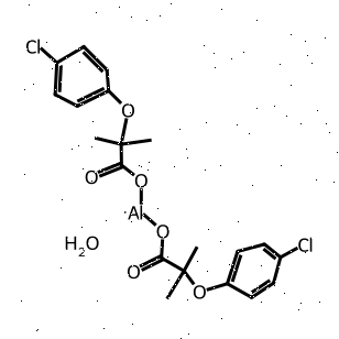 CC(C)(Oc1ccc(Cl)cc1)C(=O)[O][Al][O]C(=O)C(C)(C)Oc1ccc(Cl)cc1.O